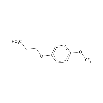 O=C(O)CCOc1ccc(OC(F)(F)F)cc1